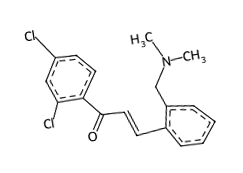 CN(C)Cc1ccccc1C=CC(=O)c1ccc(Cl)cc1Cl